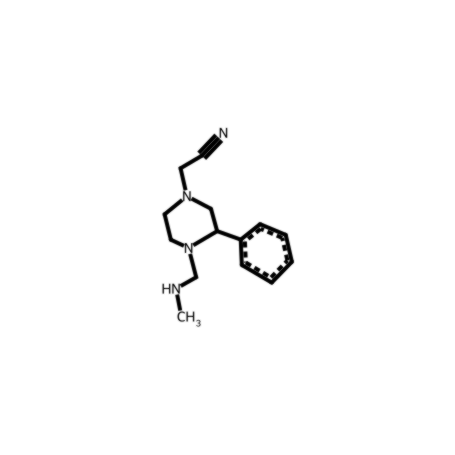 CNCN1CCN(CC#N)CC1c1ccccc1